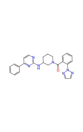 O=C(c1ccccc1-n1nccn1)N1CCCC(Nc2nccc(-c3ccccc3)n2)C1